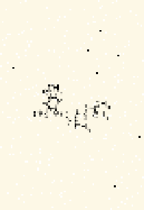 COc1ccc(OCCC(C)CCCC(C)C)c(CCl)c1